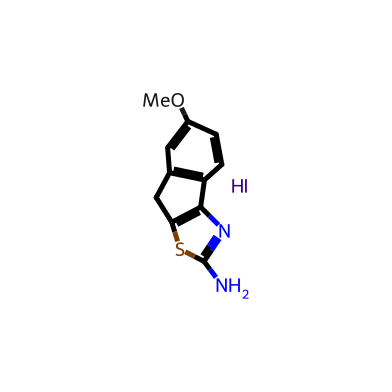 COc1ccc2c(c1)Cc1sc(N)nc1-2.I